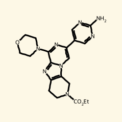 CCOC(=O)N1CCc2nc3c(N4CCOCC4)nc(-c4cnc(N)nc4)cn3c2C1